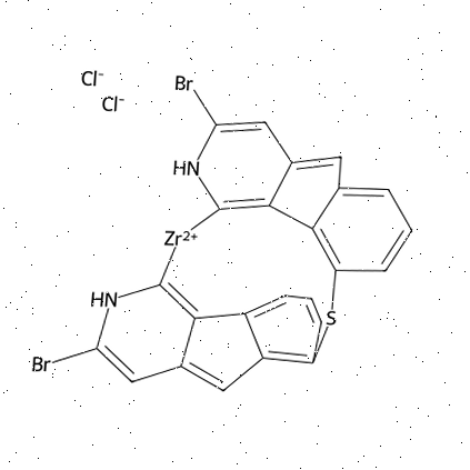 Brc1cc2cc3c4cccc3c-2[c]([nH]1)[Zr+2][c]1[nH]c(Br)cc2cc3cccc(c3c1-2)S4.[Cl-].[Cl-]